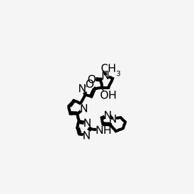 CN1CC[C@@](O)(c2cc(-c3cccc(-c4ccnc(Nc5cnn6c5CCCC6)n4)n3)no2)C1=O